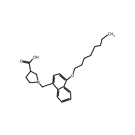 CCCCCCCCOc1ccc(CN2CCC(C(=O)O)C2)c2ccccc12